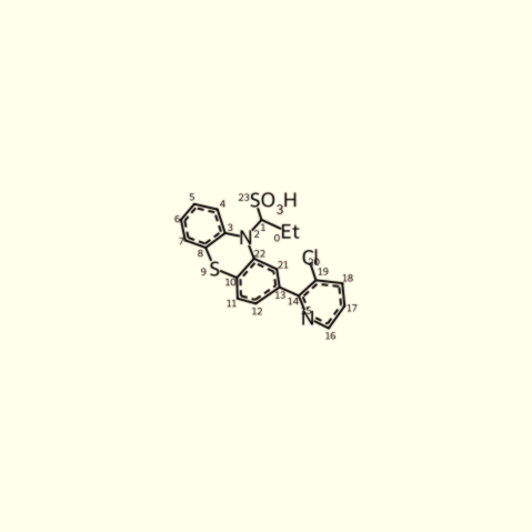 CCC(N1c2ccccc2Sc2ccc(-c3ncccc3Cl)cc21)S(=O)(=O)O